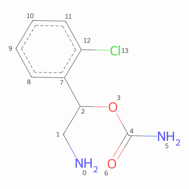 NCC(OC(N)=O)c1ccccc1Cl